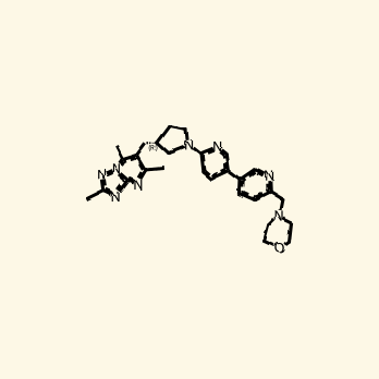 Cc1nc2nc(C)c(C[C@@H]3CCN(c4ccc(-c5ccc(CN6CCOCC6)nc5)cn4)C3)c(C)n2n1